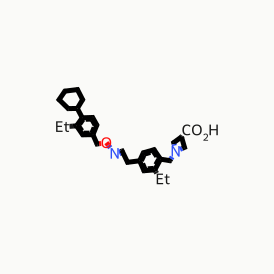 CCc1cc(CC=NOCc2ccc(C3CCCCC3)c(CC)c2)ccc1CN1CC(C(=O)O)C1